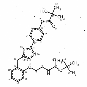 CC(C)(C)OC(=O)NCCOc1ccccc1Cn1nnc(-c2ccc(OC(=O)C(C)(C)C)cc2)n1